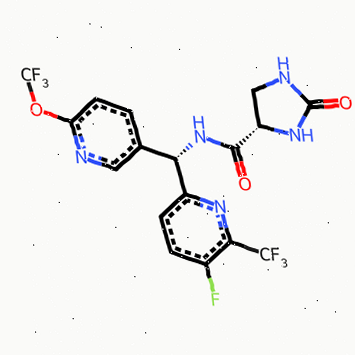 O=C1NC[C@@H](C(=O)N[C@@H](c2ccc(OC(F)(F)F)nc2)c2ccc(F)c(C(F)(F)F)n2)N1